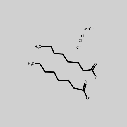 CCCCCCCC(=O)[O-].CCCCCCCC(=O)[O-].[Cl-].[Cl-].[Cl-].[Mo+5]